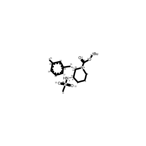 CC(C)(C)OC(=O)N1CCC[C@H](NS(C)(=O)=O)[C@@H]1Cc1cccc(I)c1